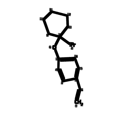 C=Cc1ccc(OC2(C(C)C)CCCCC2)cc1